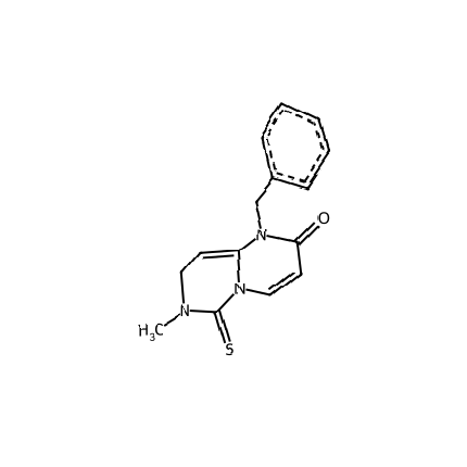 CN1CC=C2N(C=CC(=O)N2Cc2ccccc2)C1=S